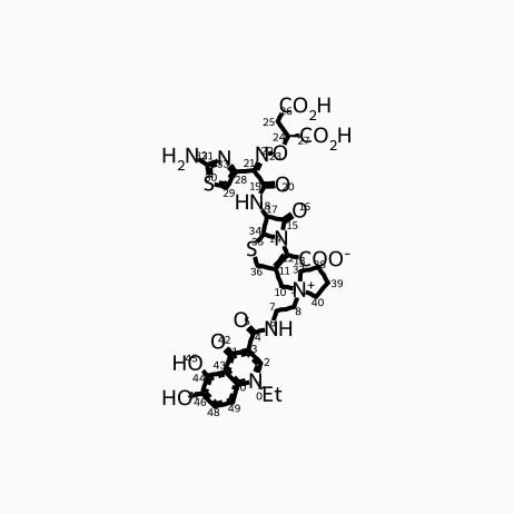 CCn1cc(C(=O)NCC[N+]2(CC3=C(C(=O)[O-])N4C(=O)C(NC(=O)/C(=N\O[C@@H](CC(=O)O)C(=O)O)c5csc(N)n5)C4SC3)CCCC2)c(=O)c2c(O)c(O)ccc21